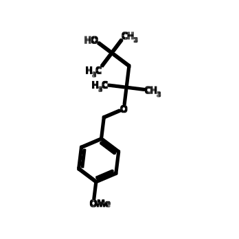 COc1ccc(COC(C)(C)CC(C)(C)O)cc1